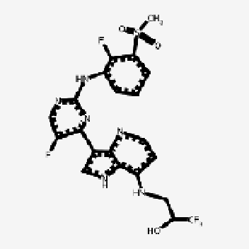 CS(=O)(=O)c1cccc(Nc2ncc(F)c(-c3c[nH]c4c(NCC(O)C(F)(F)F)ccnc34)n2)c1F